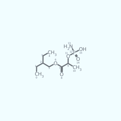 CCC(CC)COC(=O)C(C)OP(N)(=O)O